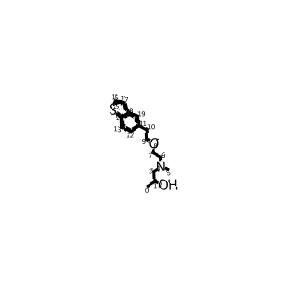 CC(O)CN(C)CCOCCc1ccc2sccc2c1